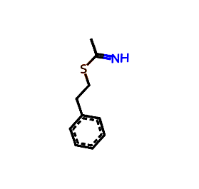 CC(=N)SCCc1ccccc1